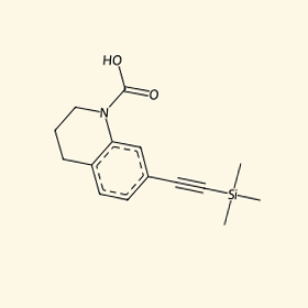 C[Si](C)(C)C#Cc1ccc2c(c1)N(C(=O)O)CCC2